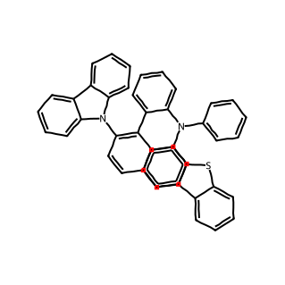 c1ccc(N(c2ccccc2-c2c(-n3c4ccccc4c4ccccc43)ccc3ccccc23)c2cccc3c2sc2ccccc23)cc1